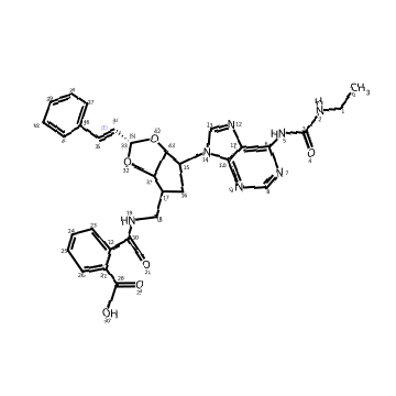 CCNC(=O)Nc1ncnc2c1ncn2C1CC(CNC(=O)c2ccccc2C(=O)O)C2O[C@H](/C=C/c3ccccc3)OC21